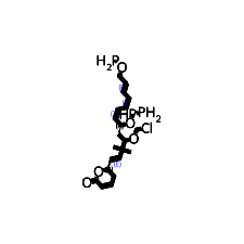 CC(C)(/C=C/[C@H]1CC=CC(=O)O1)C(C[C@H](\C=C/C=C\C=C\COP)OPP)OCCl